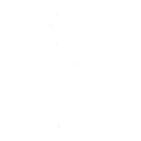 CN(c1nc(C(=O)NC(Cc2ccccc2)C(O)C(O)CCCC#N)co1)S(C)(=O)=O